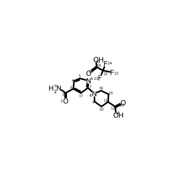 NC(=O)c1ccnc(N2CCC(C(=O)O)CC2)c1.O=C(O)C(F)(F)F